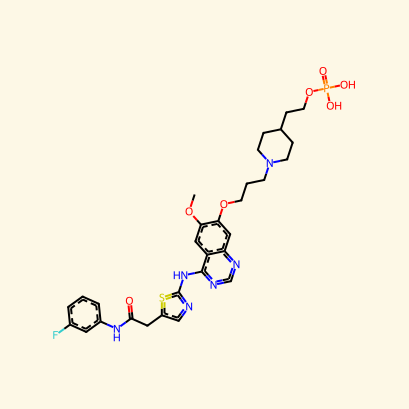 COc1cc2c(Nc3ncc(CC(=O)Nc4cccc(F)c4)s3)ncnc2cc1OCCCN1CCC(CCOP(=O)(O)O)CC1